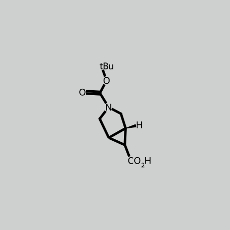 CC(C)(C)OC(=O)N1CC2C(C(=O)O)[C@H]2C1